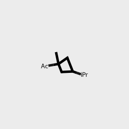 CC(=O)C1(C)CC(C(C)C)C1